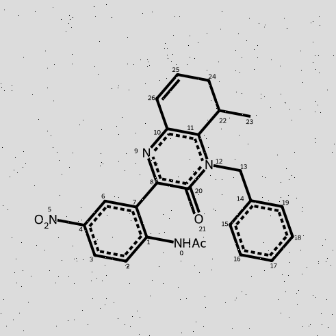 CC(=O)Nc1ccc([N+](=O)[O-])cc1-c1nc2c(n(Cc3ccccc3)c1=O)C(C)CC=C2